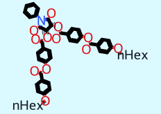 CCCCCCOc1ccc(C(=O)Oc2ccc(C(=O)O[C@H]3C(=O)N(c4ccccc4)C(=O)[C@@H]3OC(=O)c3ccc(OC(=O)c4ccc(OCCCCCC)cc4)cc3)cc2)cc1